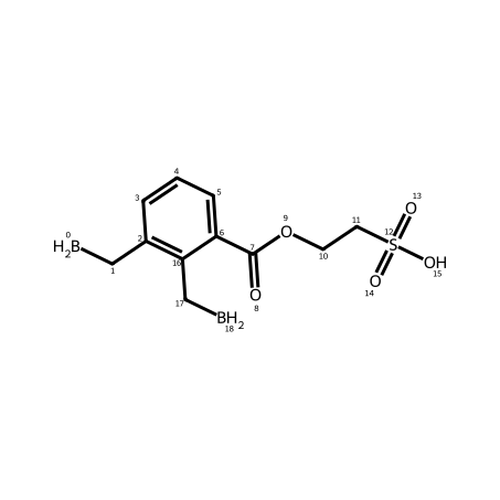 BCc1cccc(C(=O)OCCS(=O)(=O)O)c1CB